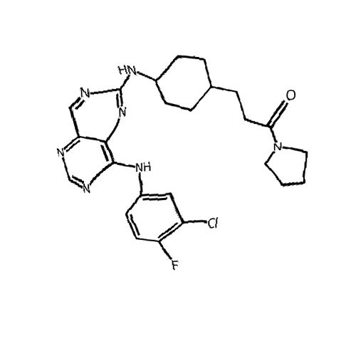 O=C(CCC1CCC(Nc2ncc3ncnc(Nc4ccc(F)c(Cl)c4)c3n2)CC1)N1CCCC1